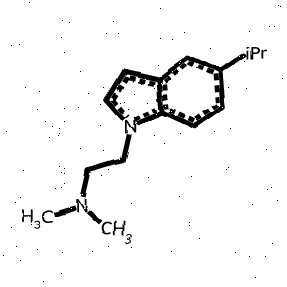 CC(C)c1ccc2c(ccn2CCN(C)C)c1